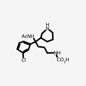 CC(=O)NC(CCCNC(=O)O)(c1cccc(Cl)c1)C1CCCNC1